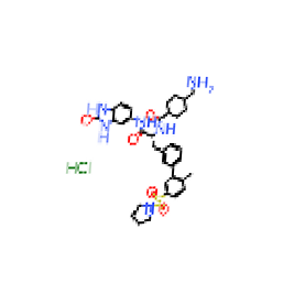 Cc1ccc(S(=O)(=O)N2CCCC2)cc1-c1cccc(C[C@H](NC(=O)C2CCC(CN)CC2)C(=O)Nc2ccc3[nH]c(=O)[nH]c3c2)c1.Cl